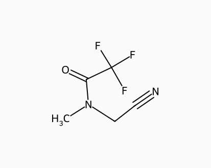 CN(CC#N)C(=O)C(F)(F)F